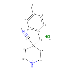 Cc1ccc(CC2(C#N)CCNCC2)cc1.Cl